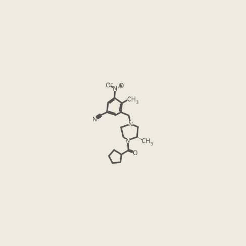 Cc1c(CN2CCN(C(=O)C3CCCC3)[C@@H](C)C2)cc(C#N)cc1[N+](=O)[O-]